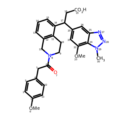 COc1ccc(CC(=O)N2CCc3c(cccc3C(CC(=O)O)c3cc(OC)c4c(c3)nnn4C)C2)cc1